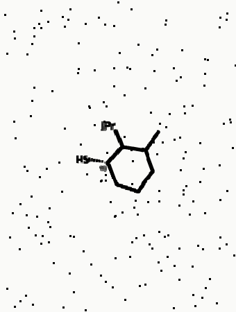 CC(C)C1C(C)CCC[C@@H]1S